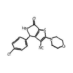 [C-]#[N+]c1c(N2CCOCC2)sc2c1C(c1ccc(Cl)cc1)NC2=O